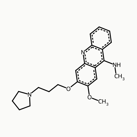 CNc1c2ccccc2nc2cc(OCCCN3CCCC3)c(OC)cc12